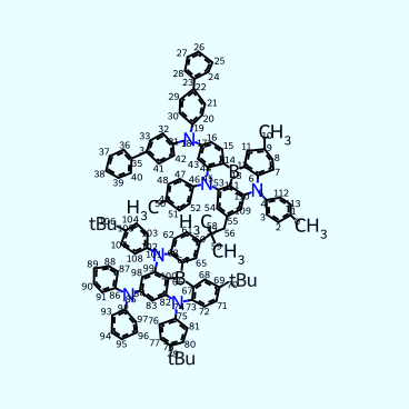 Cc1ccc(N2c3ccc(C)cc3B3c4ccc(N(c5ccc(-c6ccccc6)cc5)c5ccc(-c6ccccc6)cc5)cc4N(c4ccc(C)cc4)c4cc(CC(C)(C)c5ccc6c(c5)B5c7cc(C(C)(C)C)ccc7N(c7ccc(C(C)(C)C)cc7)c7cc(N(c8ccccc8)c8ccccc8)cc(c75)N6c5ccc(C(C)(C)C)cc5)cc2c43)cc1